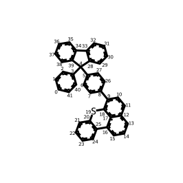 c1ccc(C2(c3ccc(-c4ccc5cccc6c5c4Sc4ccccc4-6)cc3)c3ccccc3-c3ccccc32)cc1